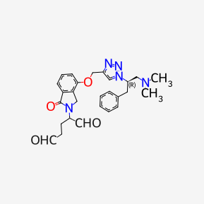 CN(C)C[C@@H](Cc1ccccc1)n1cc(COc2cccc3c2CN(C(C=O)CCC=O)C3=O)nn1